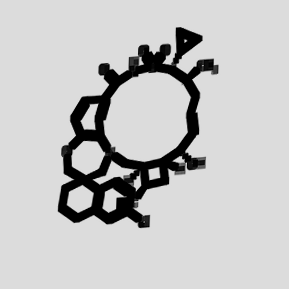 C[C@@H]1C[C@@H]2[C@@H]1CN1C[C@@]3(CCCc4cc(Cl)ccc43)COc3ccc(cc31)C(=O)NS(=O)(=O)[C@H](C1CC1)[C@@H](C)C/C=C/[C@@H]2O